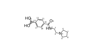 O=C(NCCN1CCCC1)c1ccc(B(O)O)cc1